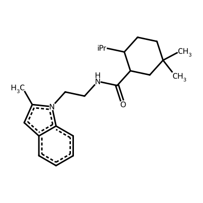 Cc1cc2ccccc2n1CCNC(=O)C1CC(C)(C)CCC1C(C)C